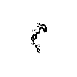 O=C(Cc1ccncc1)NCC1C2CC3CC1CC(C(O)CC1c4ccccc4-c4cncn41)(C3)C2